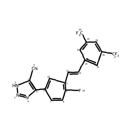 N#Cc1[nH]nnc1-c1ccc(F)c(/C=C/c2cc(C(F)(F)F)cc(C(F)(F)F)c2)c1